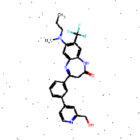 CCCN(C)c1cc2c(cc1C(F)(F)F)NC(=O)CC(c1cccc(-c3ccnc(CO)c3)c1)=N2